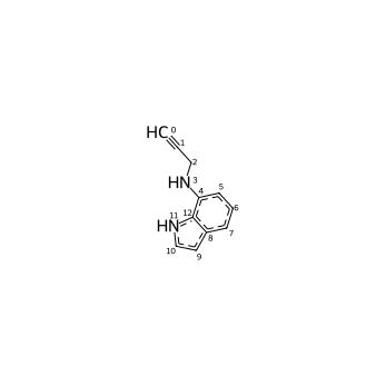 C#CCNc1cccc2cc[nH]c12